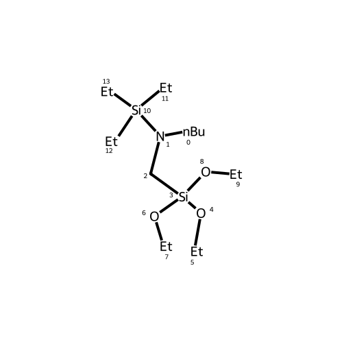 CCCCN(C[Si](OCC)(OCC)OCC)[Si](CC)(CC)CC